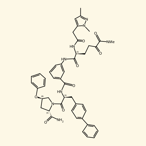 CNC(=O)C(=O)CC[C@H](NC(=O)Cc1cc(C)nn1C)C(=O)Nc1cccc(C(=O)N[C@@H](Cc2ccc(-c3ccccc3)cc2)C(=O)N2C[C@H](Oc3ccccc3)C[C@H]2C(N)=O)c1